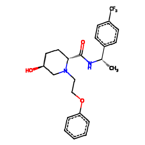 C[C@H](NC(=O)[C@H]1CC[C@H](O)CN1CCOc1ccccc1)c1ccc(C(F)(F)F)cc1